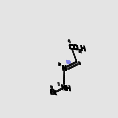 CCN/N=C/C(=O)O